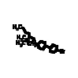 CCCCC(COc1ccc(-c2ccc(Br)cc2)cc1)[Si](C)(C)C